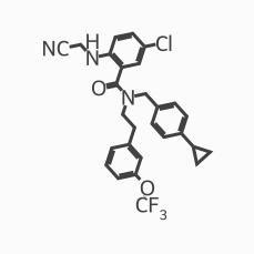 N#CCNc1ccc(Cl)cc1C(=O)N(CCc1cccc(OC(F)(F)F)c1)Cc1ccc(C2CC2)cc1